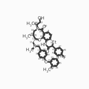 CCC(C(=O)Nc1cccc2c1O[C@H](CN(C)Cc1ccc(Oc3ccccc3C)cc1)[C@H](C)CN([C@@H](C)CO)C2=O)c1ccc(F)cc1